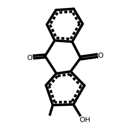 Cc1cc2c(cc1O)C(=O)c1ccccc1C2=O